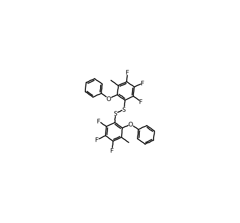 Cc1c(F)c(F)c(F)c(SSc2c(F)c(F)c(F)c(C)c2Oc2ccccc2)c1Oc1ccccc1